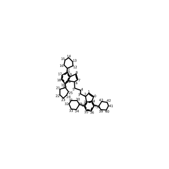 C1=CC(CCCC2C=Cc3c(C4CCCCC4)ccc(C4CCCCC4)c32)c2c(C3CCCCC3)ccc(C3CCCCC3)c21